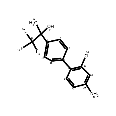 CC(O)(c1ccc(-c2ccc(N)cc2Cl)cc1)C(F)(F)F